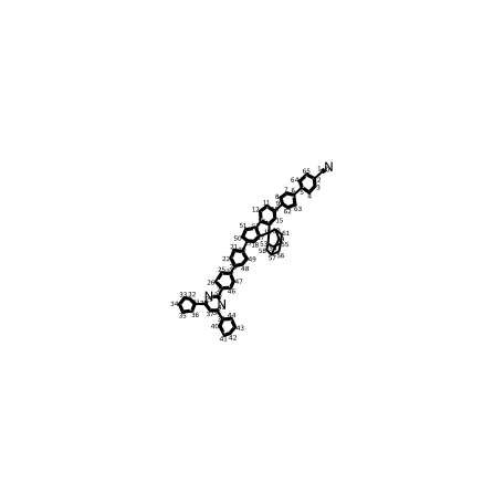 N#Cc1ccc(-c2ccc(-c3ccc4c(c3)C3(c5cc(-c6ccc(-c7ccc(-c8nc(-c9ccccc9)cc(-c9ccccc9)n8)cc7)cc6)ccc5-4)C4CC5CC(C4)CC3C5)cc2)cc1